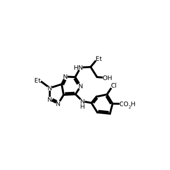 CCC(CO)Nc1nc(Nc2ccc(C(=O)O)c(Cl)c2)c2nnn(CC)c2n1